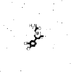 C=CCC(CNCC(N)=O)c1ccc(Cl)c(Cl)c1